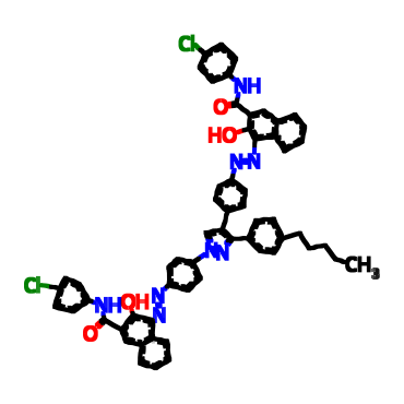 CCCCCc1ccc(-c2nn(-c3ccc(N=Nc4c(O)c(C(=O)Nc5ccc(Cl)cc5)cc5ccccc45)cc3)cc2-c2ccc(N=Nc3c(O)c(C(=O)Nc4ccc(Cl)cc4)cc4ccccc34)cc2)cc1